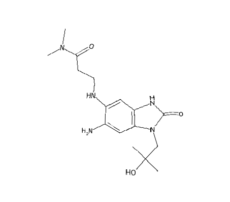 CN(C)C(=O)CCNc1cc2[nH]c(=O)n(CC(C)(C)O)c2cc1N